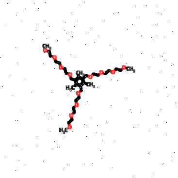 COCCOCCOCCOCc1c(C)c(COCCOCCOCCOC)c(C)c(COCCOCCOCCOC)c1C